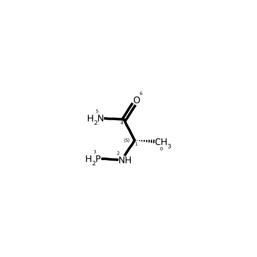 C[C@H](NP)C(N)=O